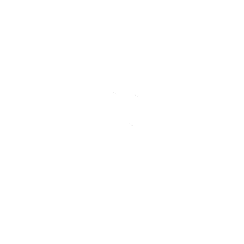 OC1CCC(Nc2cnc(-c3ccccc3)c(-c3ccccc3)n2)CC1